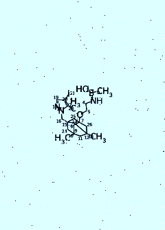 CB(O)NCCOC12CC3(C)CC(C)(CC(Cn4ncc(I)c4C)(C3)C1)C2